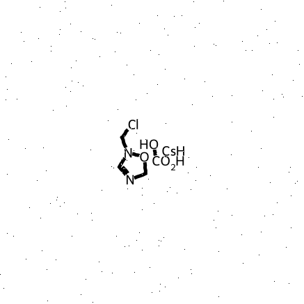 ClCN1C=NCO1.O=C(O)O.[CsH]